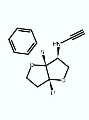 C#CN[C@H]1CO[C@@H]2CCO[C@H]12.c1ccccc1